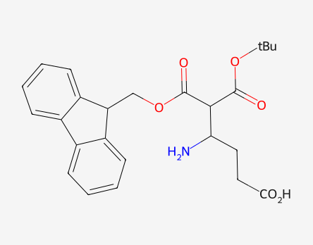 CC(C)(C)OC(=O)C(C(=O)OCC1c2ccccc2-c2ccccc21)C(N)CCC(=O)O